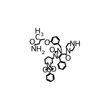 CC(COc1cccc(Cn2c(C(=O)N3CCNCC3)c(-c3ccccc3)n(C3CCCN(S(=O)(=O)c4ccccc4)C3)c2=O)c1)CC(N)=O